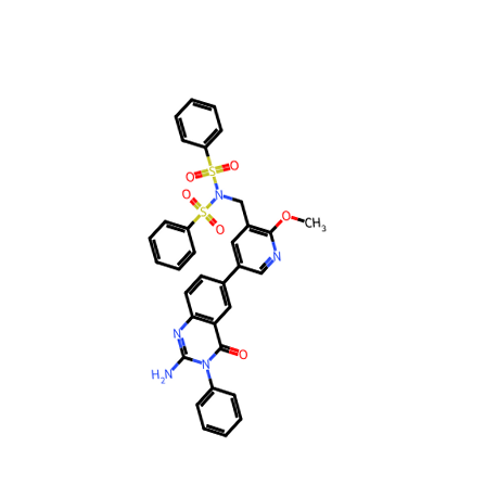 COc1ncc(-c2ccc3nc(N)n(-c4ccccc4)c(=O)c3c2)cc1CN(S(=O)(=O)c1ccccc1)S(=O)(=O)c1ccccc1